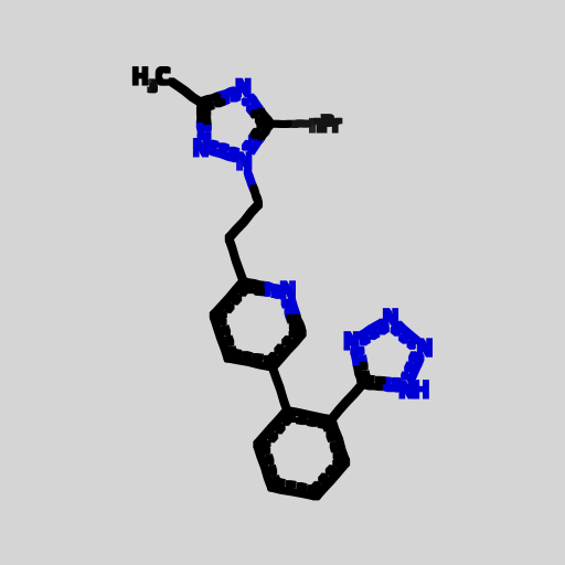 CCCc1nc(C)nn1CCc1ccc(-c2ccccc2-c2nnn[nH]2)cn1